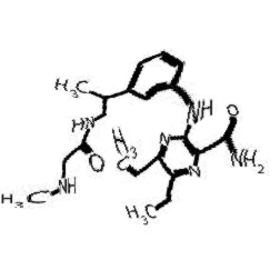 CCc1nc(Nc2cccc(C(C)CNC(=O)CNC)c2)c(C(N)=O)nc1CC